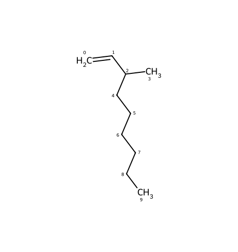 C=CC(C)CCCCCC